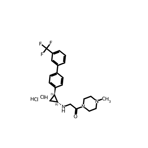 CN1CCN(C(=O)CN[C@@H]2C[C@H]2c2ccc(-c3cccc(C(F)(F)F)c3)cc2)CC1.Cl.Cl